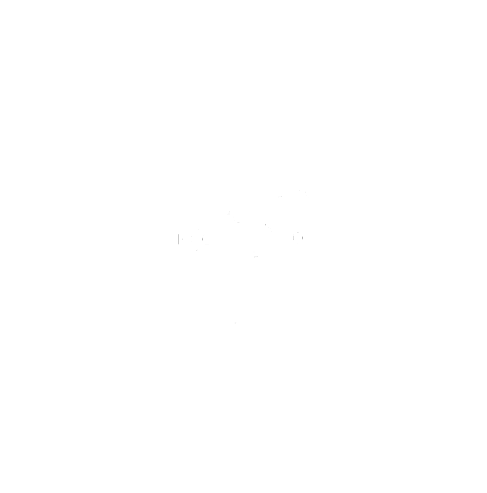 CC(Cl)S(=O)(=O)c1ccccc1C(=O)O